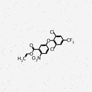 C=COC(=O)c1cc(Oc2c(Cl)cc(C(F)(F)F)cc2Cl)ccc1[N+](=O)[O-]